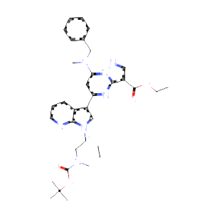 CCOC(=O)c1cnn2c(N(C)Cc3ccccc3)cc(-c3cn([C@H](CC)CN(C)C(=O)OC(C)(C)C)c4ncccc34)nc12